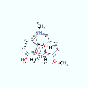 COC12C=CC3(C[C@H]1C(C)=O)C1Cc4ccc(O)c5c4[C@@]3(CCN1C)[C@@H]2O5